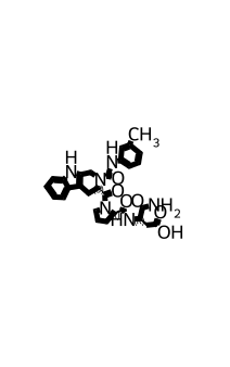 Cc1cccc(NC(=O)N2Cc3[nH]c4ccccc4c3C[C@H]2C(=O)N2CCC[C@@H]2C(=O)N[C@H](CC(=O)O)C(N)=O)c1